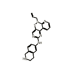 C=CCN1Sc2cnc(Nc3ccc4c(c3)CCNC4)nc2-c2cccnc21